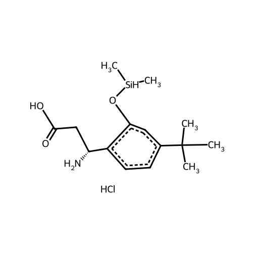 C[SiH](C)Oc1cc(C(C)(C)C)ccc1[C@H](N)CC(=O)O.Cl